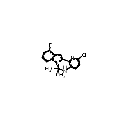 CC1(C)Nc2ccc(Cl)nc2-c2cc3c(F)cccc3n21